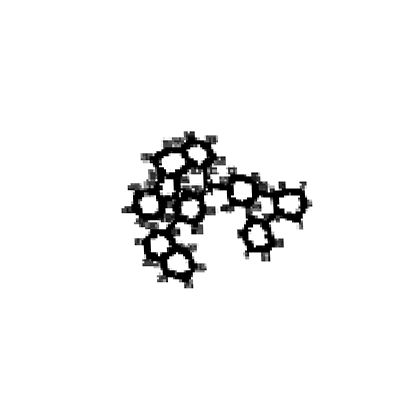 c1ccc(-c2ccccc2-c2ccc(N(c3ccc(-c4cccc5ccccc45)cc3)c3cccc4ccc5c6ccccc6oc5c34)cc2)cc1